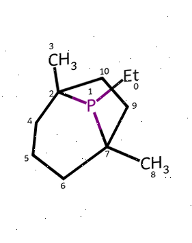 CCP1C2(C)CCCC1(C)CC2